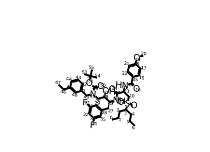 CCCC(CCC)S(=O)(=O)CC(NC(=O)c1ccc(OC)cc1)C(=O)N[C@@H](Cc1cc(F)cc(F)c1)[C@H](O)CN(Cc1cccc(CC)c1)C(=O)OC(C)(C)C